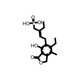 CC/C(=C\Cc1c(O)c2c(c(C)c1CC)COC2=O)CP(=O)(O)O